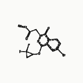 COC(=O)Cn1nc(OC2CC2(F)F)c2cc(Br)ccc2c1=O